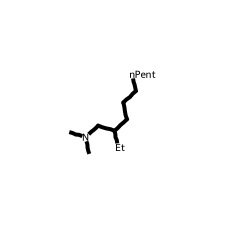 CCCCCCCCC(CC)CN(C)C